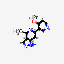 Cc1nc(-c2cnccc2OC(C)C)cc2[nH]ncc12